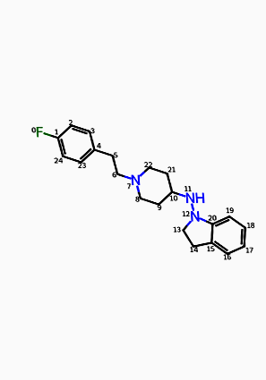 Fc1ccc(CCN2CCC(NN3CCc4ccccc43)CC2)cc1